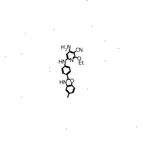 CCOc1nc(Nc2ccc(C3Nc4cc(C)ccc4O3)cc2)cc(N)c1C#N